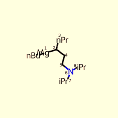 CCC[CH2][Mg][CH](CCC)CCN(C(C)C)C(C)C